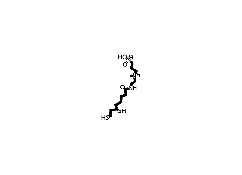 C[N+](C)(CCCS(=O)(=O)O)CCNC(=O)CCCCC(S)CCS